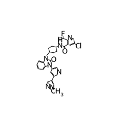 Cn1cc(-c2cncc(-n3c(=O)n(CC4CCC(NC(=O)c5cc(Cl)cnc5C(F)F)CC4)c4ccccc43)c2)cn1